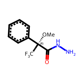 CO[C@@](C(=O)NN)(c1ccccc1)C(F)(F)F